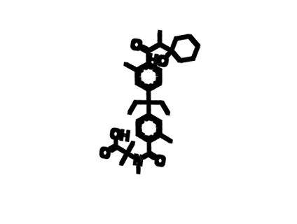 CCC(CC)(c1ccc(C(=O)C(C)C2(O)CCCCC2)c(C)c1)c1ccc(C(=O)N(C)C(C)(C)C(=O)O)c(C)c1